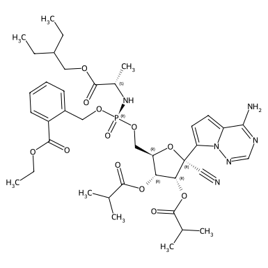 CCOC(=O)c1ccccc1CO[P@](=O)(N[C@@H](C)C(=O)OCC(CC)CC)OC[C@H]1O[C@@](C#N)(c2ccc3c(N)ncnn23)[C@H](OC(=O)C(C)C)[C@@H]1OC(=O)C(C)C